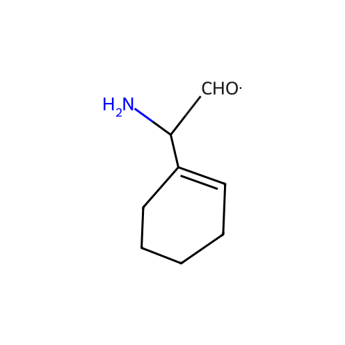 NC([C]=O)C1=CCCCC1